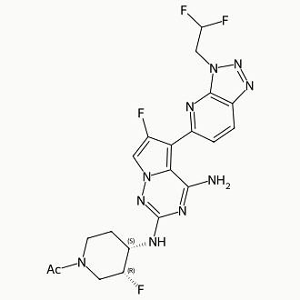 CC(=O)N1CC[C@H](Nc2nc(N)c3c(-c4ccc5nnn(CC(F)F)c5n4)c(F)cn3n2)[C@H](F)C1